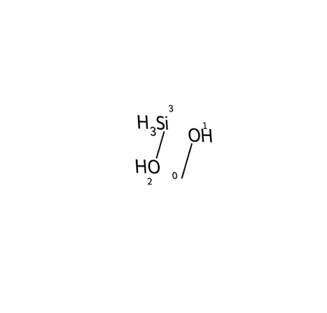 CO.O[SiH3]